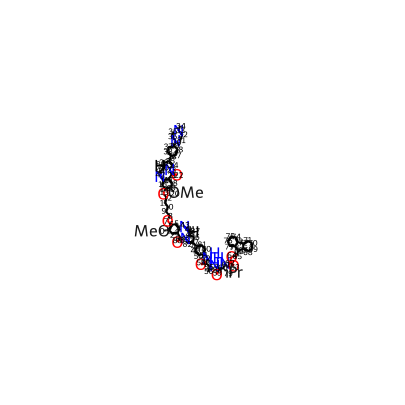 COc1cc2c(cc1OCCCCCOc1cc3c(cc1OC)C(=O)N1C=C(c4ccc(N5CCN(C)CC5)cc4)C[C@H]1C=N3)N=C[C@@H]1CC(c3ccc(NC(=O)C(C)NC(=O)[C@@H](NC(=O)OCC4c5ccccc5-c5ccccc54)C(C)C)cc3)=CN1C2=O